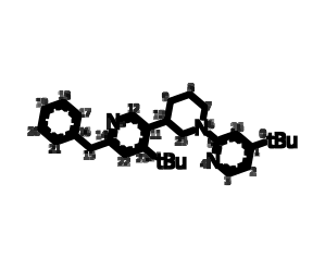 CC(C)(C)c1ccnc(N2CCCC(c3cnc(Cc4ccccc4)cc3C(C)(C)C)C2)c1